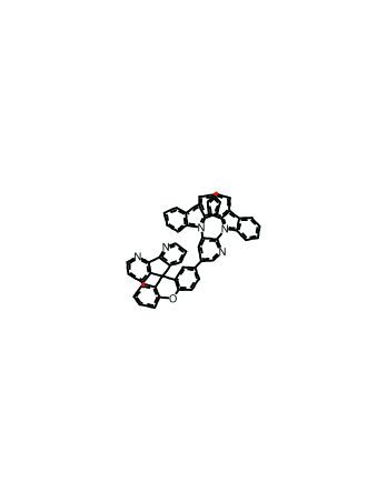 c1ccc2c(c1)Oc1ccc(-c3cnc(-n4c5ccccc5c5ccccc54)c(-n4c5ccccc5c5ccccc54)c3)cc1C21c2cccnc2-c2ncccc21